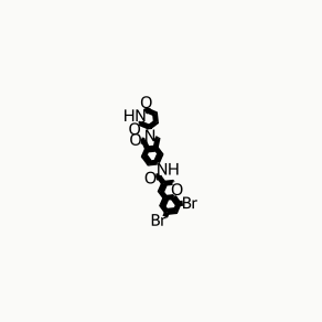 O=C1CCC(N2Cc3cc(NC(=O)C4=Cc5cc(Br)cc(Br)c5OC4)ccc3C2=O)C(=O)N1